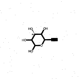 C#CC1OC(O)C(O)[C@H](O)C1O